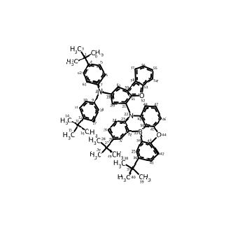 CC(C)(C)c1ccc(N(c2ccc(C(C)(C)C)cc2)c2cc(N3c4ccc(C(C)(C)C)cc4B4c5cc(C(C)(C)C)ccc5Oc5cccc3c54)c3oc4ccccc4c3c2)cc1